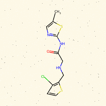 Cc1cnc(NC(=O)CNCc2sccc2Cl)s1